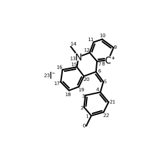 Cc1ccc(C=C2C3=[C+]C=CC=C3N(C)c3ccccc32)cc1.[I-]